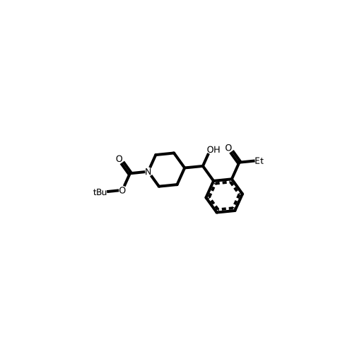 CCC(=O)c1ccccc1C(O)C1CCN(C(=O)OC(C)(C)C)CC1